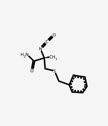 C[C@](CSCc1ccccc1)(N=C=O)C(N)=O